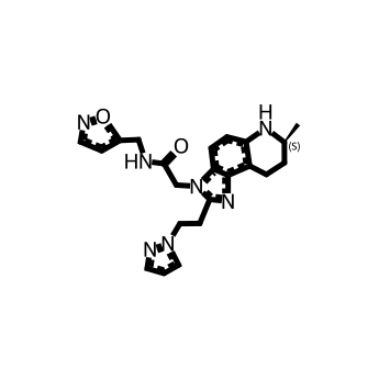 C[C@H]1CCc2c(ccc3c2nc(CCn2cccn2)n3CC(=O)NCc2ccno2)N1